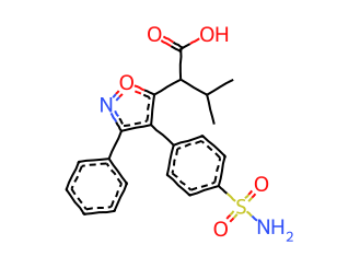 CC(C)C(C(=O)O)c1onc(-c2ccccc2)c1-c1ccc(S(N)(=O)=O)cc1